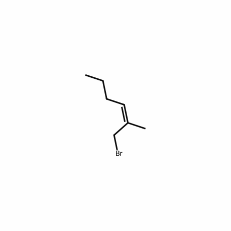 CCCC=C(C)CBr